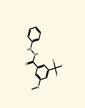 CSc1cc(C(=O)NNc2ccccc2)cc(C(F)(F)F)c1